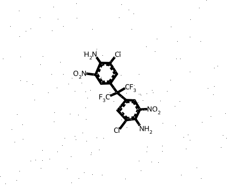 Nc1c(Cl)cc(C(c2cc(Cl)c(N)c([N+](=O)[O-])c2)(C(F)(F)F)C(F)(F)F)cc1[N+](=O)[O-]